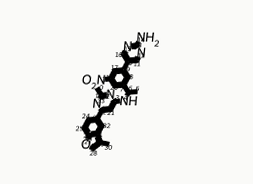 Cc1nc(NC(C)c2cc(-c3cnc(N)nc3)cc([N+](=O)[O-])c2)cc(-c2ccc3occ(C)c3c2)n1